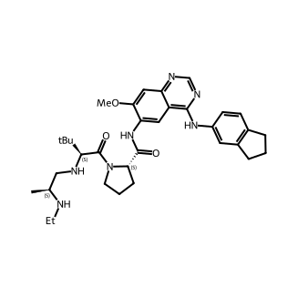 CCN[C@@H](C)CN[C@H](C(=O)N1CCC[C@H]1C(=O)Nc1cc2c(Nc3ccc4c(c3)CCC4)ncnc2cc1OC)C(C)(C)C